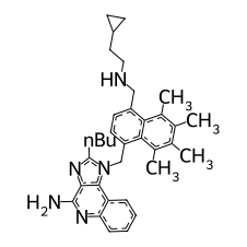 CCCCc1nc2c(N)nc3ccccc3c2n1Cc1ccc(CNCCC2CC2)c2c(C)c(C)c(C)c(C)c12